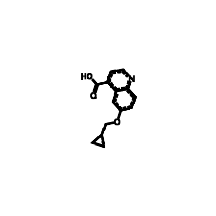 O=C(O)c1ccnc2ccc(OCC3CC3)cc12